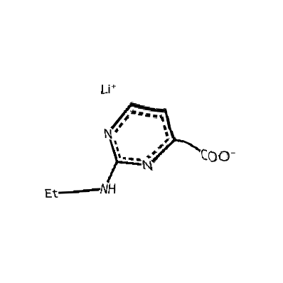 CCNc1nccc(C(=O)[O-])n1.[Li+]